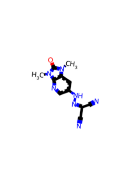 Cn1c(=O)n(C)c2ncc(NN=C(C#N)C#N)cc21